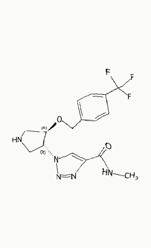 CNC(=O)c1cn([C@@H]2CNC[C@H]2OCc2ccc(C(F)(F)F)cc2)nn1